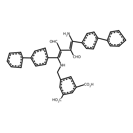 N/C(=C(C=O)\C(C=O)=C(/NCc1cc(C(=O)O)cc(C(=O)O)c1)c1ccc(-c2ccccc2)cc1)c1ccc(-c2ccccc2)cc1